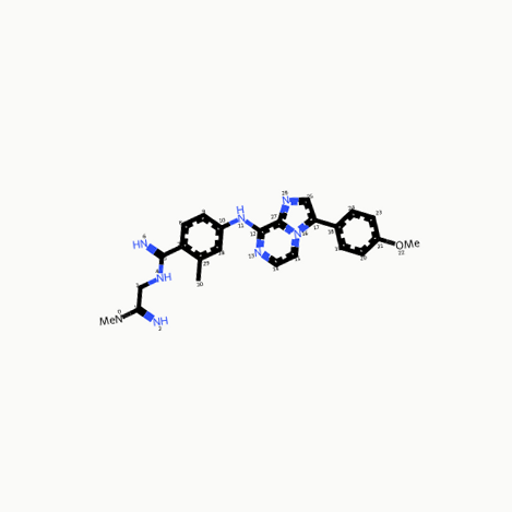 CNC(=N)CNC(=N)c1ccc(Nc2nccn3c(-c4ccc(OC)cc4)cnc23)cc1C